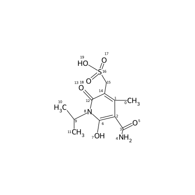 Cc1c(C(N)=O)c(O)n(C(C)C)c(=O)c1CS(=O)(=O)O